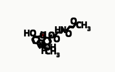 CC(=O)/C=C/C(=O)NCCC(=O)OC1=CC[C@@]2(O)[C@H]3Cc4ccc(O)c5c4[C@@]2(CCN3C)[C@H]1O5